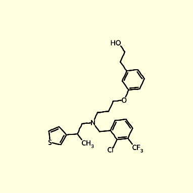 CC(CN(CCCOc1cccc(CCO)c1)Cc1cccc(C(F)(F)F)c1Cl)c1ccsc1